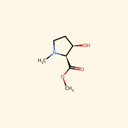 COC(=O)[C@@H]1[C@H](O)CCN1C